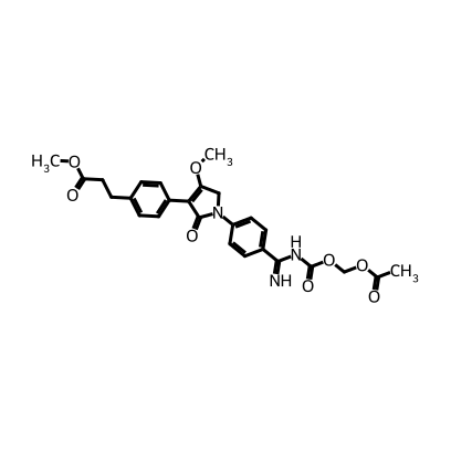 COC(=O)CCc1ccc(C2=C(OC)CN(c3ccc(C(=N)NC(=O)OCOC(C)=O)cc3)C2=O)cc1